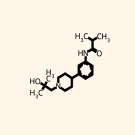 CC(C)C(=O)Nc1cccc(C2CCN(CC(C)(C)O)CC2)c1